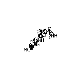 Cc1cc(Nc2nccn3c(-c4cn(CC#N)nc4C(F)(F)F)cnc23)cc(F)c1C(=O)N1CCN(C(=O)C2CCNCC2)CC1